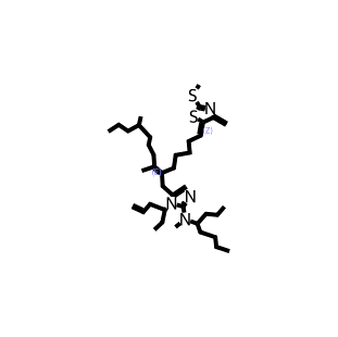 C=CCC(CC)n1c(C/C(CCCC/C=c2\sc(SC)nc2=C)=C(\C)CCCC(C)CCC)cnc1N(C)C(CCC)CCCC